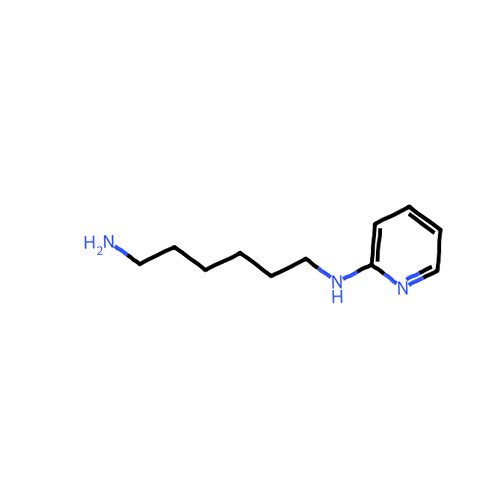 NCCCCCCNc1ccccn1